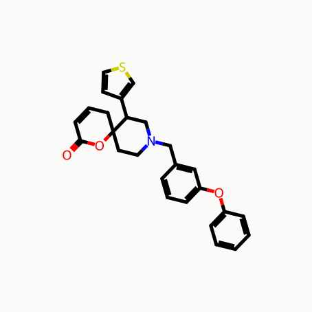 O=C1C=CCC2(CCN(Cc3cccc(Oc4ccccc4)c3)CC2c2ccsc2)O1